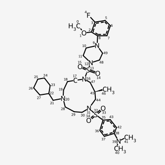 COc1c(F)cccc1N1CCN(S(=O)(=O)N2CCCN(CC3CCCCC3)CCCN(S(=O)(=O)c3ccc(N(C)C)cc3)C[C@H](C)C2)CC1